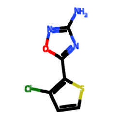 Nc1noc(-c2sccc2Cl)n1